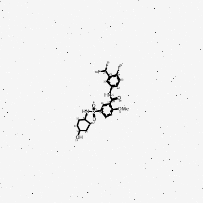 COc1ccc(S(=O)(=O)NC2CCC(O)CC2)cc1C(=O)Nc1ccc(F)c(C(F)F)c1